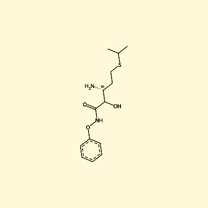 CC(C)SCC[C@@H](N)C(O)C(=O)NOc1ccccc1